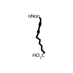 CCCCCCCCCCC#CC#CCCCCCCC(=O)O